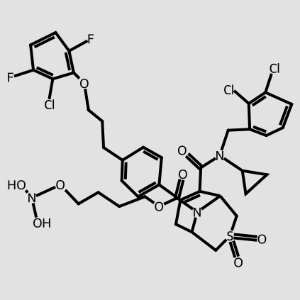 O=C(C1=C(c2ccc(CCCOc3c(F)ccc(F)c3Cl)cc2)CC2CS(=O)(=O)CC1N2C(=O)OCCCCON(O)O)N(Cc1cccc(Cl)c1Cl)C1CC1